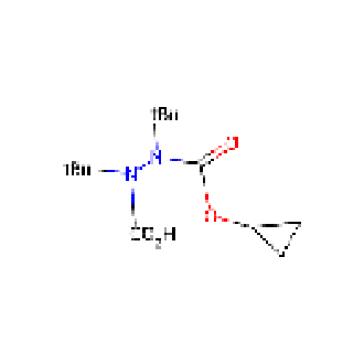 CC(C)(C)N(C(=O)O)N(C(=O)OC1CC1)C(C)(C)C